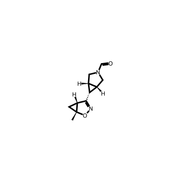 C[C@@]12C[C@@H]1C([C@@H]1[C@@H]3CN(C=O)C[C@@H]31)=NO2